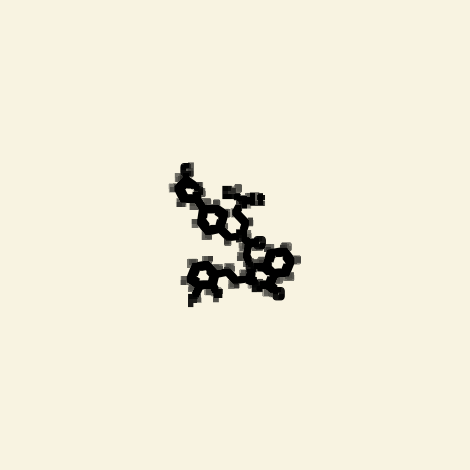 CCN(CC)CCN(Cc1ccc(-c2ccc(Cl)s2)cc1)C(=O)Cn1c(CCc2cccc(F)c2F)nc(=O)c2ccccc21